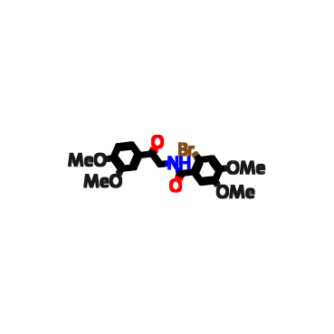 COc1ccc(C(=O)CNC(=O)c2cc(OC)c(OC)cc2Br)cc1OC